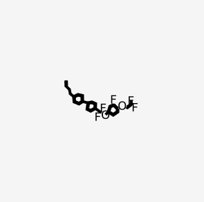 C=CCCc1ccc(-c2ccc(C(F)(F)Oc3ccc(OC=C(F)F)c(F)c3)cc2)cc1